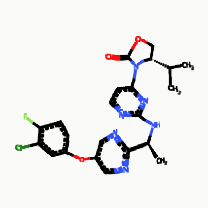 CC(C)[C@H]1COC(=O)N1c1ccnc(N[C@@H](C)c2ncc(Oc3ccc(F)c(Cl)c3)cn2)n1